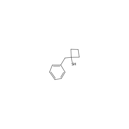 SC1(Cc2ccccc2)CCC1